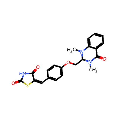 CN1C(=O)c2ccccc2N(C)C1COc1ccc(C=C2SC(=O)NC2=O)cc1